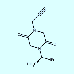 C#CCN1CC(=O)N([C@H](C(=O)O)C(C)C)CC1=O